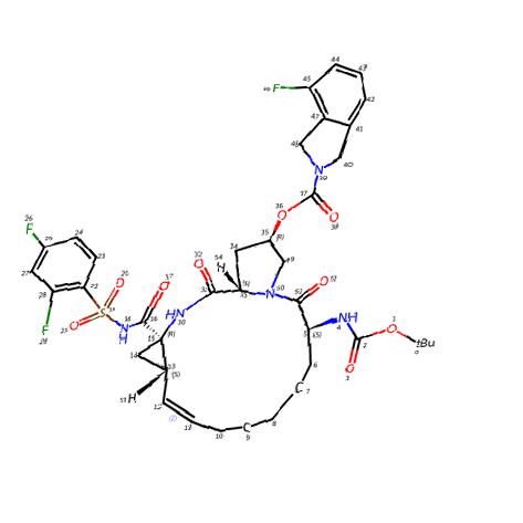 CC(C)(C)OC(=O)N[C@H]1CCCCC/C=C\[C@@H]2C[C@@]2(C(=O)NS(=O)(=O)c2ccc(F)cc2F)NC(=O)[C@@H]2C[C@@H](OC(=O)N3Cc4cccc(F)c4C3)CN2C1=O